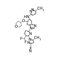 Cc1ccc(Nc2cc3ncn(-c4ccc(C(F)F)c(-n5nc(C#N)cc5C)n4)c3cc2OC2CCOCC2)nn1